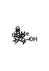 C=C1C(C[C@@H]2O[C@H](C[C@H]3COC(C)(C)O3)[C@H](OC)C2CS(=O)(=O)c2ccccc2)O[C@@H](CC[C@@H]2O[C@@H](CCCO)CC2=C)C[C@H]1C